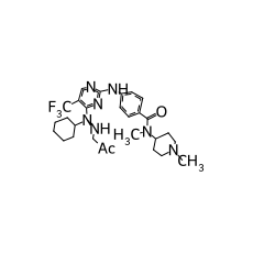 CC(=O)CNN(c1nc(Nc2ccc(C(=O)N(C)C3CCN(C)CC3)cc2)ncc1C(F)(F)F)C1CCCCC1